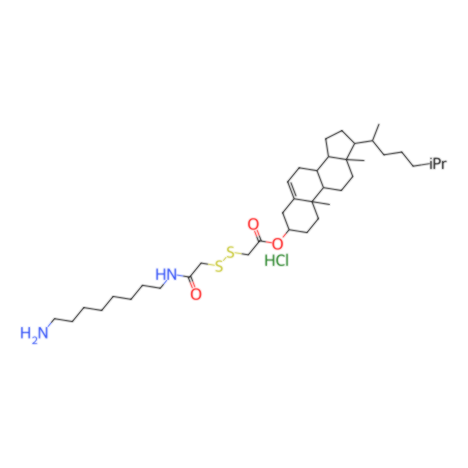 CC(C)CCCC(C)C1CCC2C3CC=C4CC(OC(=O)CSSCC(=O)NCCCCCCCCN)CCC4(C)C3CCC12C.Cl